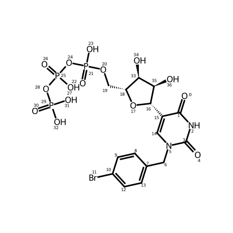 O=c1[nH]c(=O)n(Cc2ccc(Br)cc2)cc1[C@@H]1O[C@H](COP(=O)(O)OP(=O)(O)OP(=O)(O)O)[C@@H](O)[C@H]1O